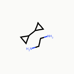 C1CC1C1CC1.NCCN